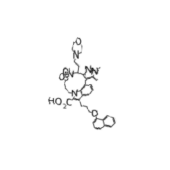 Cc1c2c(nn1C)C(CCN1CCOCC1)N(C)S(=O)(=O)CCCn1c(C(=O)O)c(CCCOc3cccc4ccccc34)c3cccc-2c31